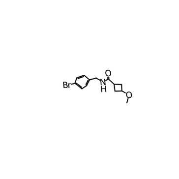 COC1CC(C(=O)NCc2ccc(Br)cc2)C1